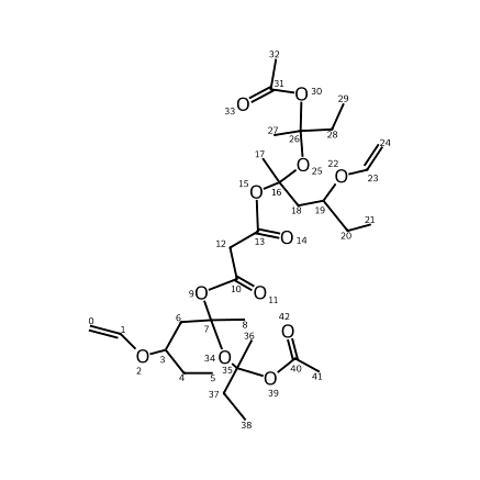 C=COC(CC)CC(C)(OC(=O)CC(=O)OC(C)(CC(CC)OC=C)OC(C)(CC)OC(C)=O)OC(C)(CC)OC(C)=O